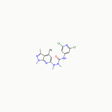 Cc1nn(C)c2nc(N(C)N(C)C(=O)Nc3cc(Cl)nc(Cl)c3)cc(C(C)C)c12